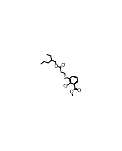 CCCC(CC)COC(=O)CCSc1cccc(C(=O)OC)c1Cl